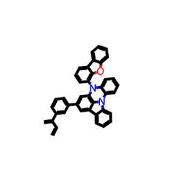 C=CC(=C)c1cccc(-c2cc3c4c(c2)c2ccccc2n4-c2ccccc2N3c2cccc3c2oc2ccccc23)c1